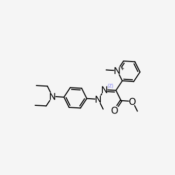 CCN(CC)c1ccc(N(C)/N=C(\C(=O)OC)c2cccc[n+]2C)cc1